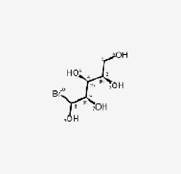 OC[C@@H](O)[C@H](O)[C@@H](O)C(O)Br